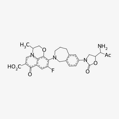 CC(=O)C(N)C1CN(c2ccc3c(c2)CCCN(c2c(F)cc4c(=O)c(C(=O)O)cn5c4c2OCC5C)C3)C(=O)O1